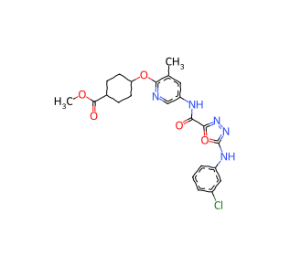 COC(=O)C1CCC(Oc2ncc(NC(=O)c3nnc(Nc4cccc(Cl)c4)o3)cc2C)CC1